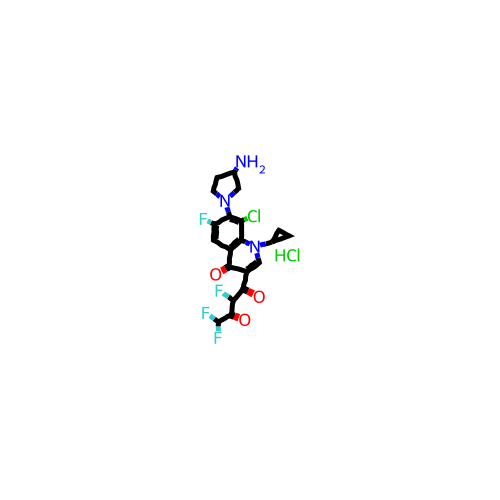 Cl.NC1CCN(c2c(F)cc3c(=O)c(C(=O)C(F)C(=O)C(F)F)cn(C4CC4)c3c2Cl)C1